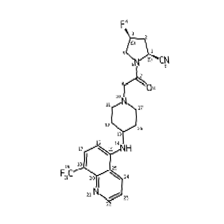 N#C[C@@H]1C[C@H](F)CN1C(=O)CN1CCC(Nc2ccc(C(F)(F)F)c3ncccc23)CC1